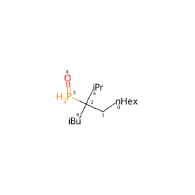 CCCCCCCC([PH2]=O)(C(C)C)C(C)CC